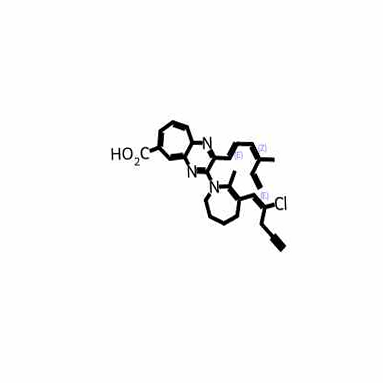 C#CC/C(Cl)=C\C1=C(C)N(C2=NC3=CC(C(=O)O)=CC=CC3N=C2/C=C/C=C(/C)C=C)CCCC1